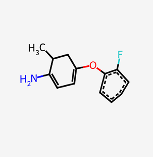 CC1CC(Oc2ccccc2F)=CC=C1N